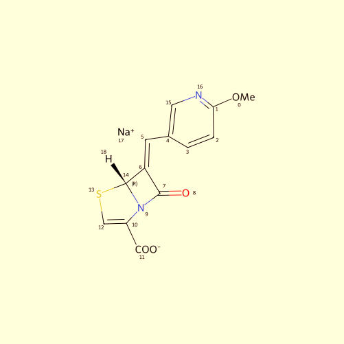 COc1ccc(C=C2C(=O)N3C(C(=O)[O-])=CS[C@H]23)cn1.[Na+]